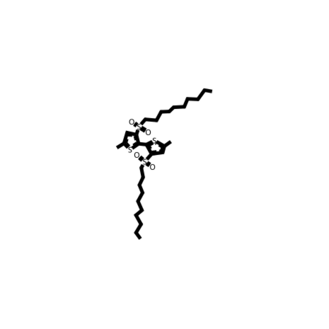 CCCCCCCCCCS(=O)(=O)c1cc(C)sc1-c1sc(C)cc1S(=O)(=O)CCCCCCCCCC